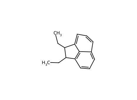 CCC1c2cccc3cccc(c23)C1CC